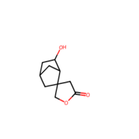 O=C1CC2(CO1)CC1CC(O)C2C1